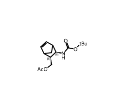 CC(=O)OC[C@H]1C2C=CC(C2)[C@H]1NC(=O)OC(C)(C)C